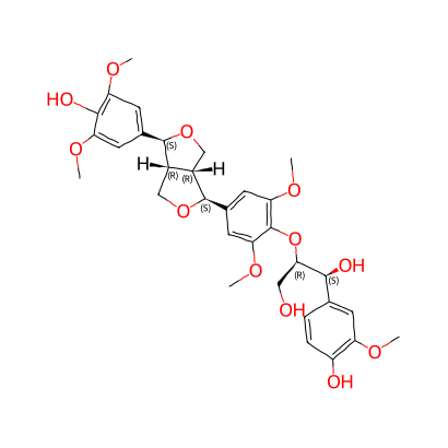 COc1cc([C@H](O)[C@@H](CO)Oc2c(OC)cc([C@H]3OC[C@H]4[C@@H]3CO[C@@H]4c3cc(OC)c(O)c(OC)c3)cc2OC)ccc1O